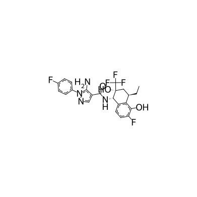 CC[C@@H]1C[C@](O)(C(F)(F)F)[C@@H](NC(=O)c2cnn(-c3ccc(F)cc3)c2N)c2ccc(F)c(O)c21